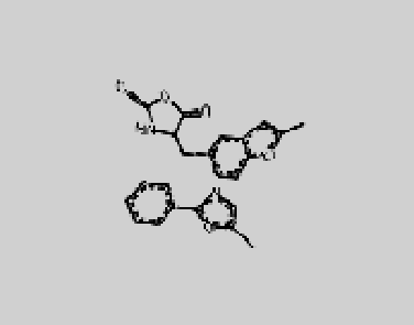 Cc1cc2cc(CC3NC(=O)OC3=O)ccc2o1.Cc1cnc(-c2ccccc2)o1